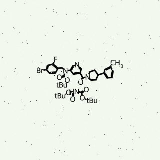 CC(C)(C)OC(=O)NC(=O)OC(C)(C)C.Cc1cccc(C2CCN(C(=O)c3cncc(N(Cc4ccc(Br)cc4F)C(=O)OC(C)(C)C)c3)CC2)c1